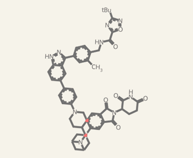 Cc1cc(-c2n[nH]c3ccc(-c4ccc(N5CCC(CN6C7CC6CN(c6ccc8c(c6)C(=O)N(C6CCC(=O)NC6=O)C8=O)C7)CC5)cc4)cc23)ccc1CNC(=O)c1nc(C(C)(C)C)no1